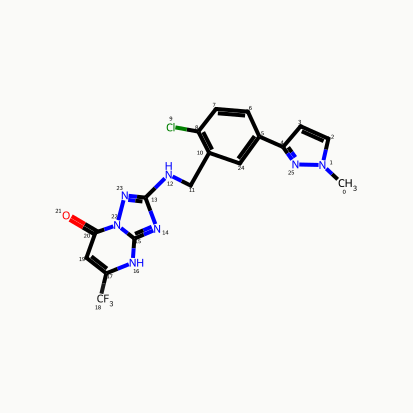 Cn1ccc(-c2ccc(Cl)c(CNc3nc4[nH]c(C(F)(F)F)cc(=O)n4n3)c2)n1